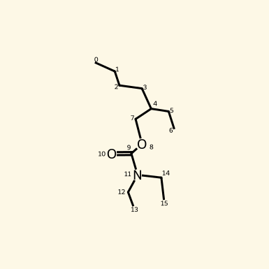 CCCCC(CC)COC(=O)N(CC)CC